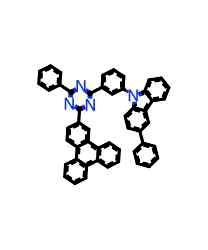 c1ccc(-c2ccc3c(c2)c2ccccc2n3-c2cccc(-c3nc(-c4ccccc4)nc(-c4ccc5c6ccccc6c6ccccc6c5c4)n3)c2)cc1